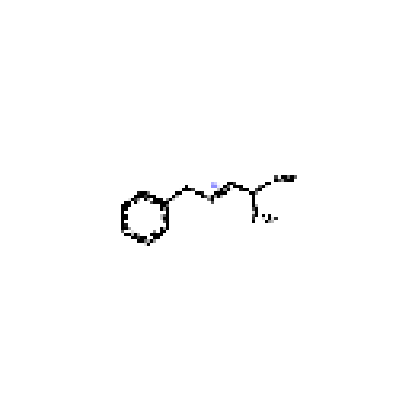 COC(/C=N/Cc1ccccc1)OC